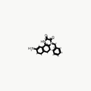 NC1=CC2=C(CC1)CCc1c2[nH]c(=O)c(=O)n1Cc1ccccc1